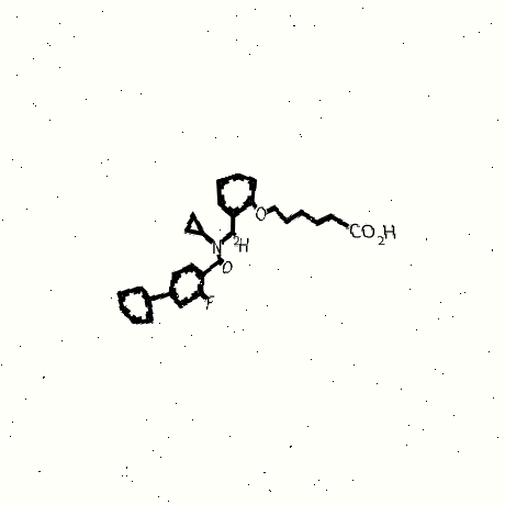 [2H]C(c1ccccc1OCCCCCC(=O)O)N(C(=O)c1ccc(-c2ccccc2)cc1F)C1CC1